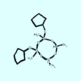 C[SiH]1O[SiH](C)O[Si](C)(OC2CCCC2)O[Si](C)(OC2CCCC2)O1